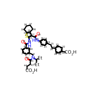 CCC(CC)N(Cc1cccc(C(=O)Nc2sc3c(c2C(=O)Nc2ccc(CCc4ccc(C(=O)O)cc4)cc2)CCCC3)c1)C(=O)CCC(=O)O